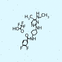 CCNc1nc(NC2CCC(NC(=O)c3ccc(F)c(F)c3)CC2)ncc1C.O=C(O)C(F)(F)F